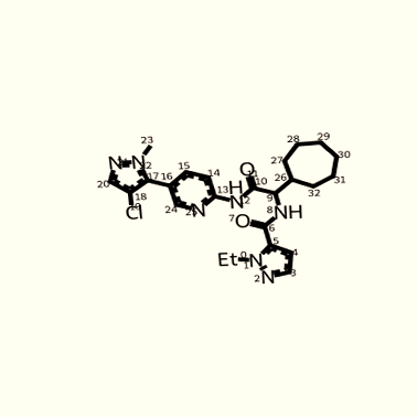 CCn1nccc1C(=O)NC(C(=O)Nc1ccc(-c2c(Cl)cnn2C)cn1)C1CCCCCC1